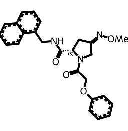 CON=C1C[C@@H](C(=O)NCc2cccc3ccccc23)N(C(=O)COc2ccccc2)C1